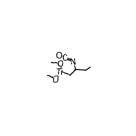 CCC([CH2][Ti]([O]C)[O]C)N=C=O